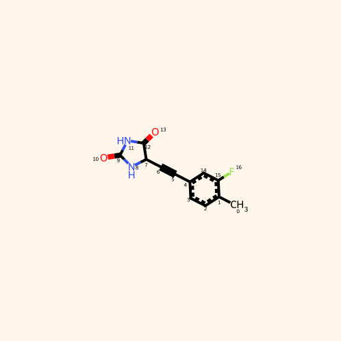 Cc1ccc(C#CC2NC(=O)NC2=O)cc1F